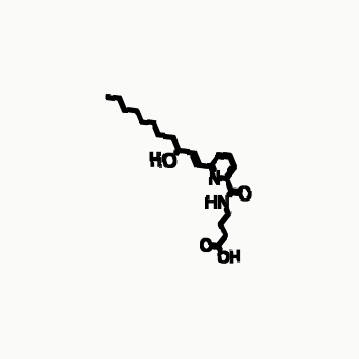 CCCCCCCCC(O)C=Cc1cccc(C(=O)NCCCC(=O)O)n1